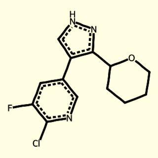 Fc1cc(-c2c[nH]nc2C2CCCCO2)cnc1Cl